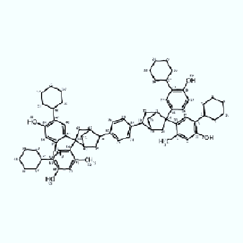 Cc1cc(O)c(C2CCCCC2)cc1C1(c2ccc(O)c(C3CCCCC3)c2)CC2CC1CC2c1ccc(C2CC3CC2CC3(c2cc(C3CCCCC3)c(O)cc2C)c2cc(C3CCCCC3)c(O)cc2C)cc1